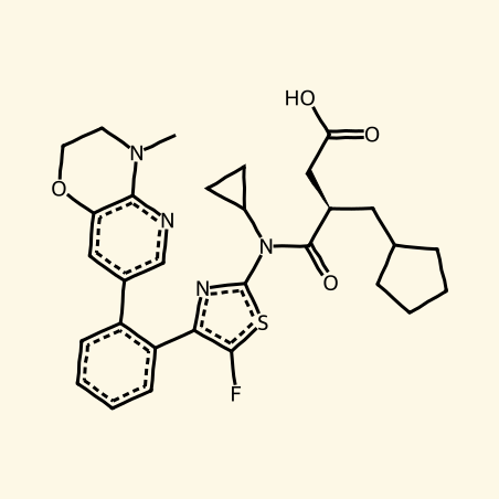 CN1CCOc2cc(-c3ccccc3-c3nc(N(C(=O)[C@@H](CC(=O)O)CC4CCCC4)C4CC4)sc3F)cnc21